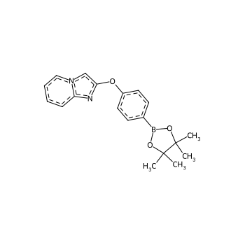 CC1(C)OB(c2ccc(Oc3cn4ccccc4n3)cc2)OC1(C)C